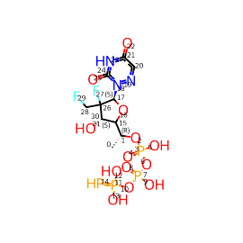 C[C@@H](OP(=O)(O)OP(=O)(O)OP(O)(O)=P)C1O[C@H](n2ncc(=O)[nH]c2=O)C(F)(CF)[C@H]1O